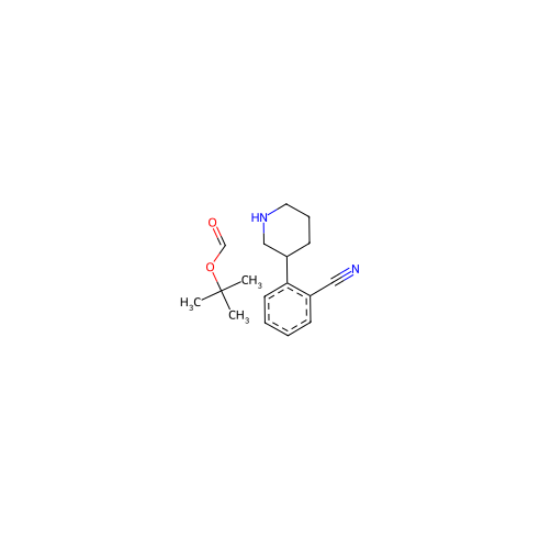 CC(C)(C)OC=O.N#Cc1ccccc1C1CCCNC1